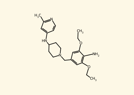 CCOc1cc(CN2CCC(Nc3ccnc(C)c3)CC2)cc(OCC)c1N